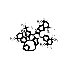 CC(C)(C)c1ccc2c(c1)B1c3sc4cc5c(cc4c3N(c3ccc4c(c3)C(C)(C)CCC4(C)C)c3cc4cc(c31)N2c1cc2c(cc1-c1ccc(cc1)CC4)C(C)(C)CCC2(C)C)C(C)(C)CCC5(C)C